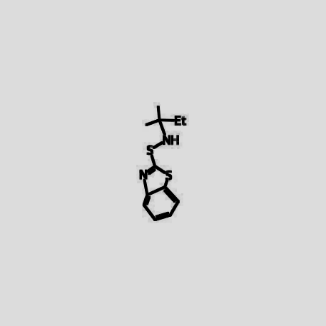 CCC(C)(C)NSc1nc2ccccc2s1